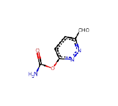 NC(=O)Oc1ccc(C=O)nn1